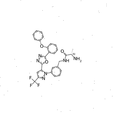 C[C@H](N)C(=O)NCc1cccc(-n2nc(C(F)(F)F)cc2-c2nnc(-c3ccccc3Oc3ccccc3)o2)c1